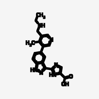 CCNCc1cncc(-c2ccc3[nH]nc(-c4ncc(C(=O)O)[nH]4)c3c2)c1C